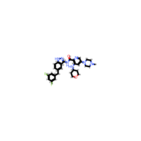 CN1CCN(c2cnc(C(=O)Nc3n[nH]c4ccc(Cc5cc(F)cc(F)c5)cc34)c(NC3CCOCC3)c2)CC1